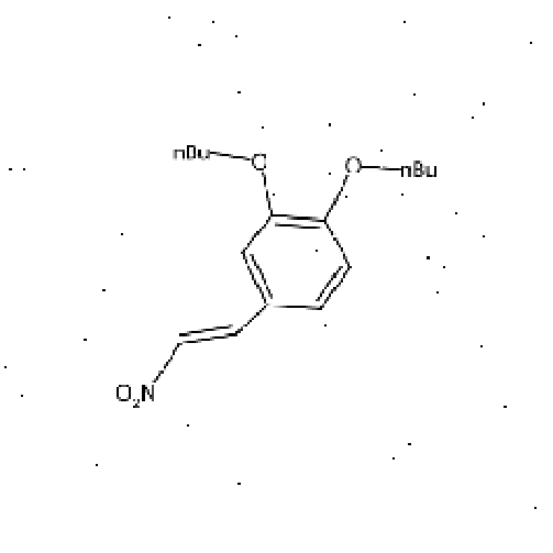 CCCCOc1ccc(/C=C/[N+](=O)[O-])cc1OCCCC